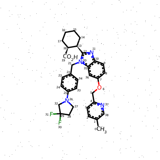 Cc1ccc(COc2ccc3nc([C@@H]4CCCC[C@@H]4C(=O)O)n(Cc4ccc(N5CCC(F)(F)C5)cc4)c3c2)nc1